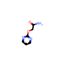 NC(=O)COc1ncccn1